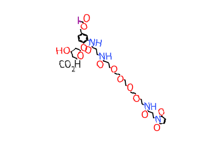 O=C(CCOCCOCCOCCOCCNC(=O)CCN1C(=O)C=CC1=O)NCCC(=O)Nc1cc(COC(=O)I)ccc1O[C@H]1C[C@@H](O)C[C@@H](C(=O)O)O1